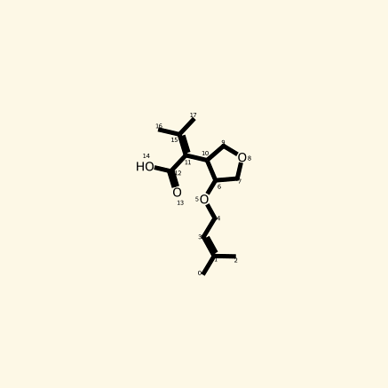 CC(C)=CCOC1COCC1C(C(=O)O)=C(C)C